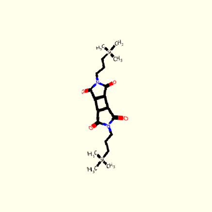 C[Si](C)(C)CCCN1C(=O)C2C(C1=O)C1C(=O)N(CCC[Si](C)(C)C)C(=O)C21